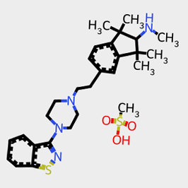 CNC1C(C)(C)c2ccc(CCN3CCN(c4nsc5ccccc45)CC3)cc2C1(C)C.CS(=O)(=O)O